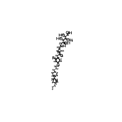 CCCc1cnc(N2CCC(CCCOc3ccc(CC(=O)N4CC(CNCC(O)C(O)C(O)C(O)CO)C4)c(F)c3)CC2)nc1